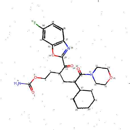 NC(=O)OCCC(CC(C(=O)N1CCOCC1)C1CCCCC1)C(=O)c1nc2ccc(F)cc2o1